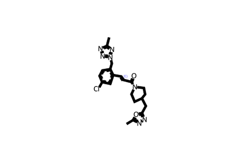 Cc1nnn(Cc2ccc(Cl)cc2/C=C/C(=O)N2CCC(Cc3nnc(C)o3)CC2)n1